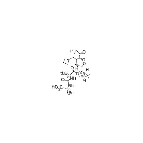 CC(C)(C)[C@H](NC(=O)N[C@H](C(=O)N1C[C@H]2[C@@H]([C@H]1C(=O)NC(CC1CCC1)C(=O)C(N)=O)C2(C)C)C(C)(C)C)C(=O)O